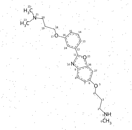 CNCCCOc1ccc2nc(-c3cccc(OCCCN(C)C)c3)oc2c1